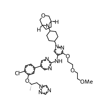 COCCOCCOc1nn(C2CCC(N3[C@@H]4CC[C@H]3COC4)CC2)cc1Nc1ncc(-c2ccc(Cl)c(O[C@@H](C)Cn3cncn3)c2)cn1